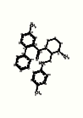 Cc1ccc(NCC2[C@H](C)CCCN2C(=O)c2cc(C)ccc2-c2ccccn2)nc1